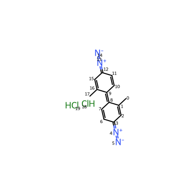 CC1=CC(=[N+]=[N-])C=CC1=C1C=CC(=[N+]=[N-])C=C1C.Cl.Cl